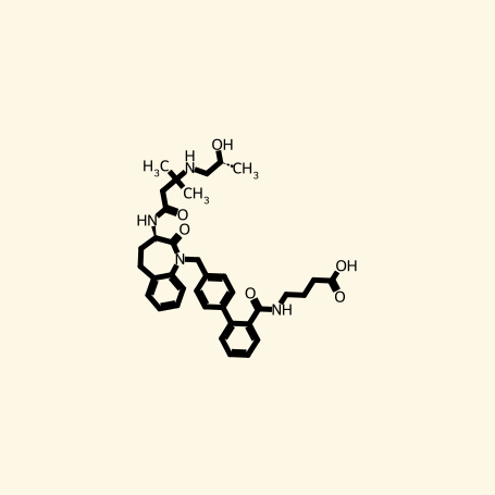 C[C@@H](O)CNC(C)(C)CC(=O)N[C@@H]1CCc2ccccc2N(Cc2ccc(-c3ccccc3C(=O)NCCCC(=O)O)cc2)C1=O